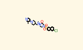 Cc1cnccc1N1CCC(CN(C)N2CCN(S(=O)(=O)c3ccc4cc(Cl)ccc4c3)CC2=O)CC1